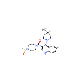 C[S+]([O-])N1CCN(C(=O)c2cnc3ccc(F)cc3c2N2CCC(C)(C#N)CC2)CC1